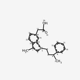 Cc1cn(CCC(C)c2ccccc2)c2cc(CC(=O)O)ccc12